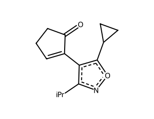 CC(C)c1noc(C2CC2)c1C1=CCCC1=O